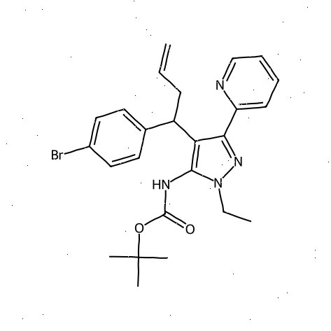 C=CCC(c1ccc(Br)cc1)c1c(-c2ccccn2)nn(CC)c1NC(=O)OC(C)(C)C